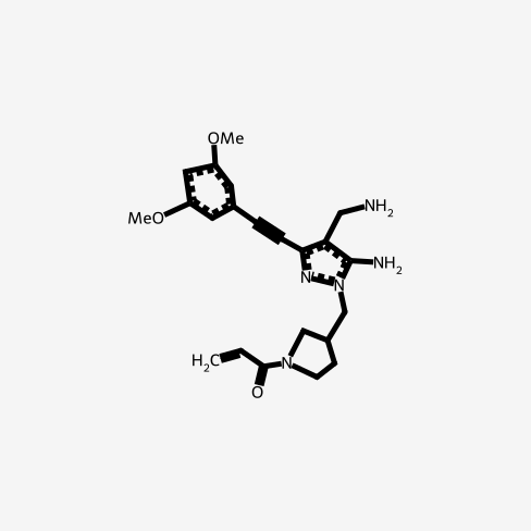 C=CC(=O)N1CCC(Cn2nc(C#Cc3cc(OC)cc(OC)c3)c(CN)c2N)C1